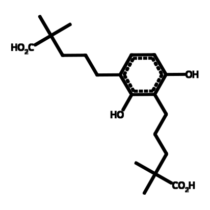 CC(C)(CCCc1ccc(O)c(CCCC(C)(C)C(=O)O)c1O)C(=O)O